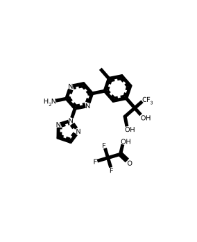 Cc1ccc(C(O)(CO)C(F)(F)F)cc1-c1cnc(N)c(-n2nccn2)n1.O=C(O)C(F)(F)F